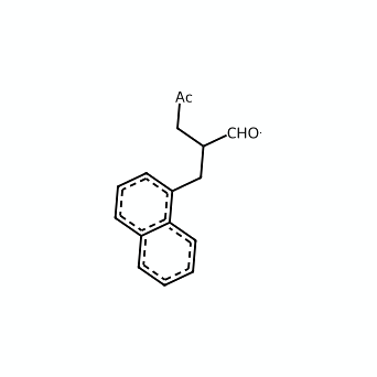 CC(=O)CC([C]=O)Cc1cccc2ccccc12